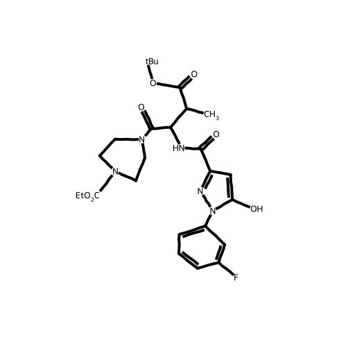 CCOC(=O)N1CCN(C(=O)C(NC(=O)c2cc(O)n(-c3cccc(F)c3)n2)C(C)C(=O)OC(C)(C)C)CC1